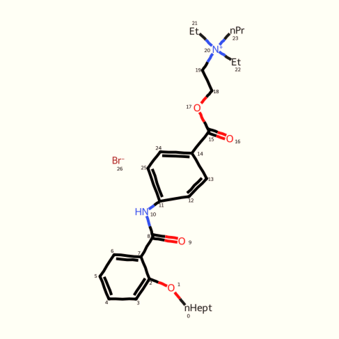 CCCCCCCOc1ccccc1C(=O)Nc1ccc(C(=O)OCC[N+](CC)(CC)CCC)cc1.[Br-]